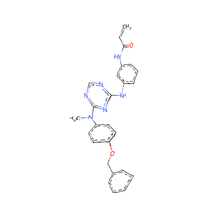 C=CC(=O)Nc1cccc(Nc2ncnc(N(C)c3ccc(OCc4ccccc4)cc3)n2)c1